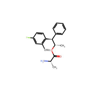 COc1cc(F)ccc1[C@@H](c1ccccc1)[C@H](C)OC(=O)[C@H](C)N